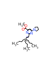 CCC[CH2][Sn](/[CH]=C/c1nc(C(=O)OC)cc(N2CCCC2)n1)([CH2]CCC)[CH2]CCC